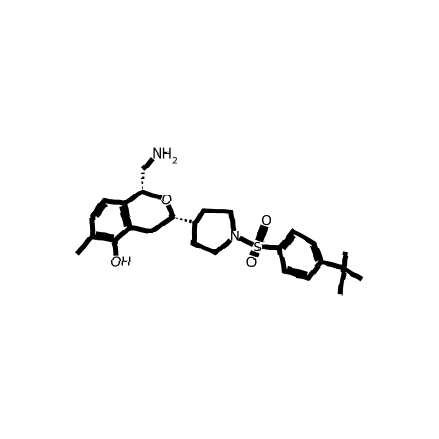 Cc1ccc2c(c1O)C[C@@H](C1CCN(S(=O)(=O)c3ccc(C(C)(C)C)cc3)CC1)O[C@H]2CN